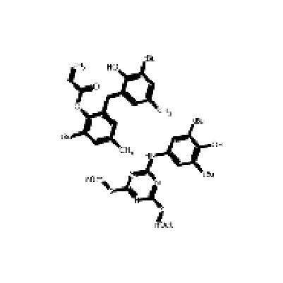 C=CC(=O)Oc1c(Cc2cc(C)cc(C(C)(C)C)c2O)cc(C)cc1C(C)(C)C.CCCCCCCCSc1nc(Nc2cc(C(C)(C)C)c(O)c(C(C)(C)C)c2)nc(SCCCCCCCC)n1